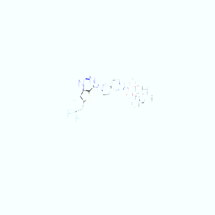 CC(C)(C)OC(=O)N1CCC2(CCN(c3ncnc4cc(CC(F)(F)F)sc34)C2)C1